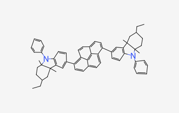 CCC1CCC2(C)N(c3ccccc3)c3ccc(-c4ccc5ccc6c(-c7ccc8c(c7)C7(C)CC(CC)CCC7(C)N8c7ccccc7)ccc7ccc4c5c76)cc3C2(C)C1